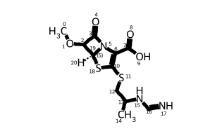 COC1C(=O)N2C(C(=O)O)=C(SCC(C)NC=N)S[C@@H]12